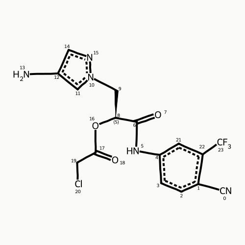 N#Cc1ccc(NC(=O)[C@H](Cn2cc(N)cn2)OC(=O)CCl)cc1C(F)(F)F